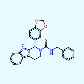 S=C(NCc1ccccc1)N1CCc2c([nH]c3ccccc23)C1c1ccc2c(c1)OCO2